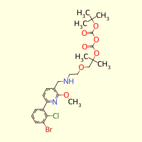 COc1nc(-c2cccc(Br)c2Cl)ccc1CNCCOCC(C)(C)OC(=O)OC(=O)OC(C)(C)C